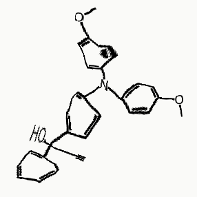 C#CC(O)(c1ccccc1)c1ccc(N(c2ccc(OC)cc2)c2ccc(OC)cc2)cc1